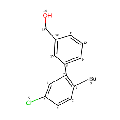 CCC(C)c1ccc(Cl)cc1-c1cccc(CO)c1